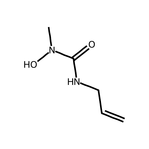 C=CCNC(=O)N(C)O